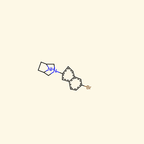 Brc1ccc2cc(N3CC4CCC(C3)N4)ccc2c1